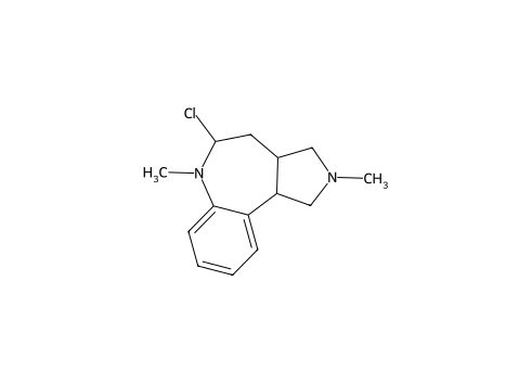 CN1CC2CC(Cl)N(C)c3ccccc3C2C1